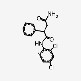 NC(=O)C[C@@H](C(=O)Nc1ncc(Cl)cc1Cl)c1ccccc1